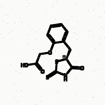 O=C(O)COc1ccccc1C[C@@H]1SC(=S)NC1=O